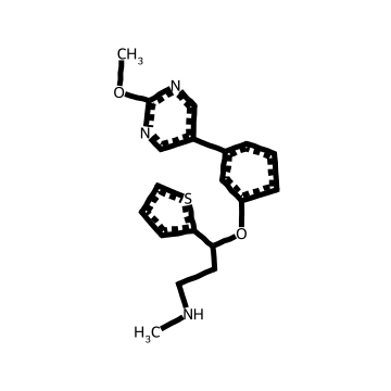 CNCCC(Oc1cccc(-c2cnc(OC)nc2)c1)c1cccs1